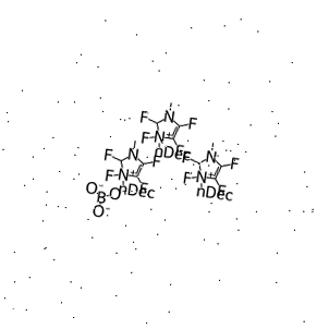 CCCCCCCCCC[N+]1(F)C(F)=C(F)N(C)C1F.CCCCCCCCCC[N+]1(F)C(F)=C(F)N(C)C1F.CCCCCCCCCC[N+]1(F)C(F)=C(F)N(C)C1F.[O-]B([O-])[O-]